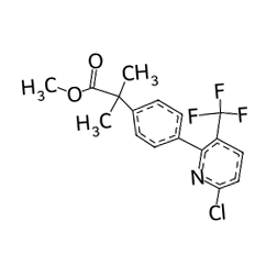 COC(=O)C(C)(C)c1ccc(-c2nc(Cl)ccc2C(F)(F)F)cc1